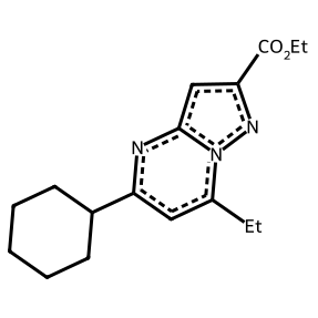 CCOC(=O)c1cc2nc(C3CCCCC3)cc(CC)n2n1